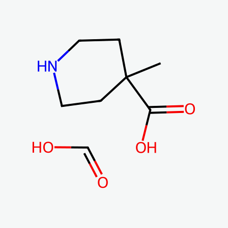 CC1(C(=O)O)CCNCC1.O=CO